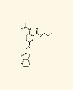 CCCOC(=O)c1cc(OCc2nc3ccccc3s2)ccc1NC(C)=O